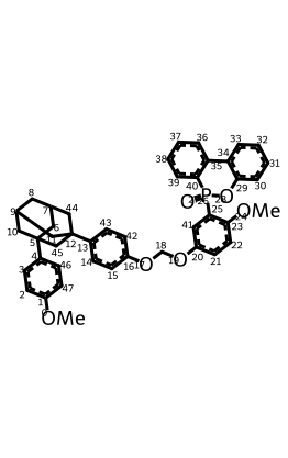 COc1ccc(C23CC4CC(C2)CC(c2ccc(OCOc5ccc(OC)c(P6(=O)Oc7ccccc7-c7ccccc76)c5)cc2)(C4)C3)cc1